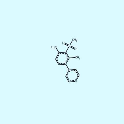 Cc1c(-c2ccncc2)ccc(N)c1S(C)(=O)=O